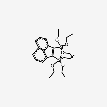 CCO[Si](OCC)(OCC)C1=C([Si](OCC)(OCC)OCC)c2cccc3cccc1c23